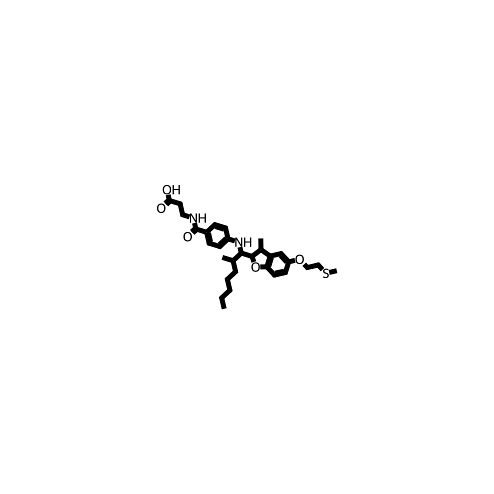 CCCCCC(C)C(Nc1ccc(C(=O)NCCC(=O)O)cc1)C1Oc2ccc(OCCSC)cc2C1C